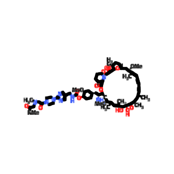 CNC(=O)CN(C)CC(=O)N1CCN(c2ncc(CNC(=O)O[C@@H]3CC[C@@H](C[C@@H](N)[C@@H]4C[C@@H](OC)[C@H](C)/C=C(\C)[C@@H](O)[C@@H](O)C(=O)[C@H](C)C[C@H](C)/C=C/C=C/C=C(\C)[C@@H](OC)C[C@@H]5CC[C@@H](C)[C@@](O)(O5)C(=O)C(=O)N5CCCC[C@H]5C(=O)O4)C[C@H]3OC)cn2)CC1